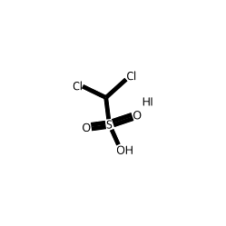 I.O=S(=O)(O)C(Cl)Cl